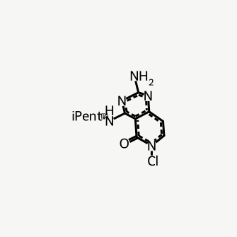 CCC[C@@H](C)Nc1nc(N)nc2ccn(Cl)c(=O)c12